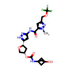 Cn1nc(COC(F)(F)F)cc1C(=O)Nc1cc([C@@H]2C[C@H](OC(=O)NC34CC(O)(C3)C4)CO2)[nH]n1